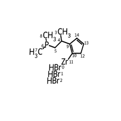 Br.Br.Br.CC(CP(C)C)C1=[C]([Zr])CC=C1